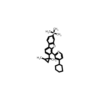 CC1CC1(C)c1ccc2c(oc3cc(S(C)(C)C)ccc32)c1-c1cc(C2CCCCC2)ccn1